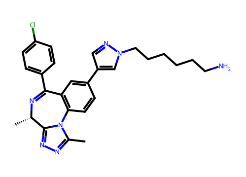 Cc1nnc2n1-c1ccc(-c3cnn(CCCCCCN)c3)cc1C(c1ccc(Cl)cc1)=N[C@H]2C